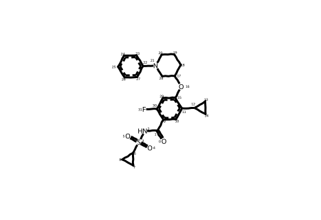 O=C(NS(=O)(=O)C1CC1)c1cc(C2CC2)c(OC2CCCN(c3ccccc3)C2)cc1F